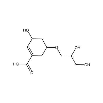 O=C(O)C1=CC(O)CC(OCC(O)CO)C1